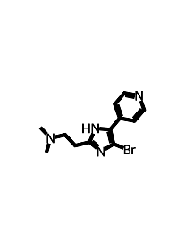 CN(C)CCc1nc(Br)c(-c2ccncc2)[nH]1